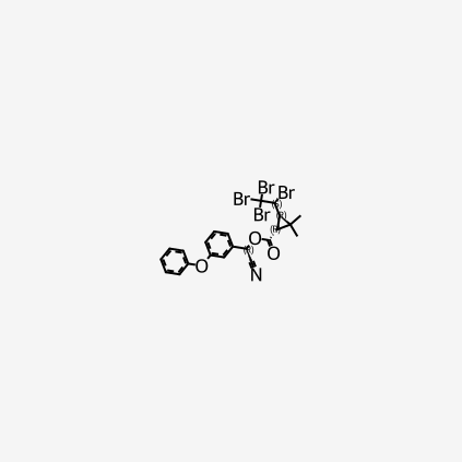 CC1(C)[C@H]([C@H](Br)C(Br)(Br)Br)[C@H]1C(=O)O[C@@H](C#N)c1cccc(Oc2ccccc2)c1